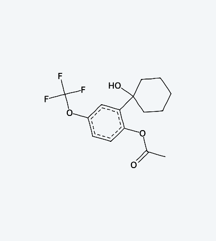 CC(=O)Oc1ccc(OC(F)(F)F)cc1C1(O)CCCCC1